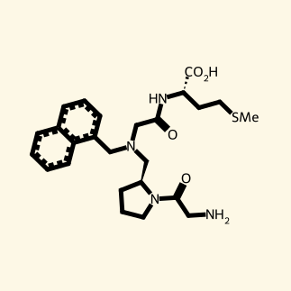 CSCC[C@H](NC(=O)CN(Cc1cccc2ccccc12)C[C@@H]1CCCN1C(=O)CN)C(=O)O